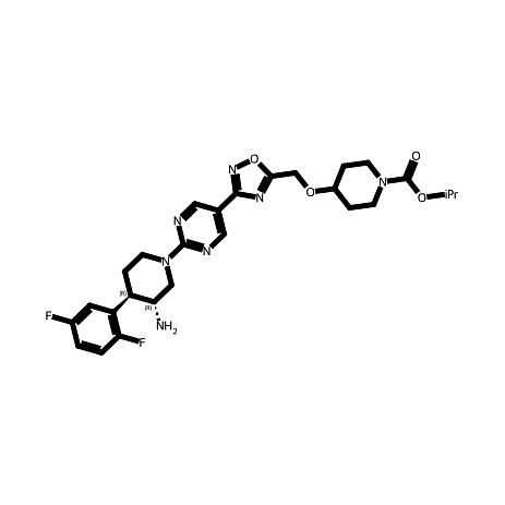 CC(C)OC(=O)N1CCC(OCc2nc(-c3cnc(N4CC[C@H](c5cc(F)ccc5F)[C@@H](N)C4)nc3)no2)CC1